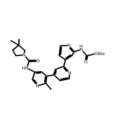 COC(=O)Nc1cc(-c2cc(-c3cc(NC(=O)N4CCC(C)(C)C4)cnc3C)ccn2)ccn1